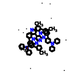 Cc1ccc2c(c1)c1cc(C)ccc1n2-c1nc(-n2c3ccccc3c3cc(N(c4ccccc4)c4ccccc4)ccc32)c(-n2c3ccc(C)cc3c3cc(C)ccc32)c(-c2ccncc2)c1-n1c2ccccc2c2cc(N(c3ccccc3)c3ccccc3)ccc21